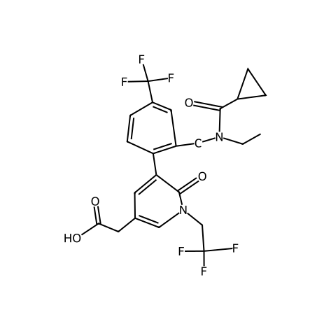 CCN(Cc1cc(C(F)(F)F)ccc1-c1cc(CC(=O)O)cn(CC(F)(F)F)c1=O)C(=O)C1CC1